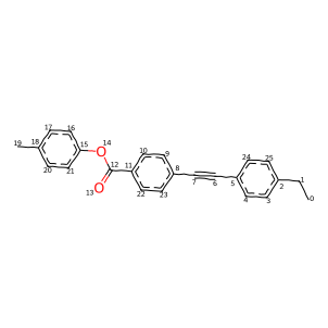 CCc1ccc(C#Cc2ccc(C(=O)Oc3ccc(C)cc3)cc2)cc1